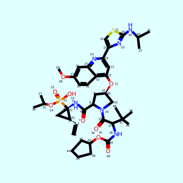 C=C[C@@H]1C[C@]1(NC(=O)C1C[C@@H](Oc2cc(-c3csc(NC(C)C)n3)nc3cc(OC)ccc23)CN1C(=O)C(NC(=O)OC1CCCC1)C(C)(C)C)P(=O)(O)OC(C)C